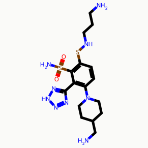 NCCCNSc1ccc(N2CCC(CN)CC2)c(-c2nn[nH]n2)c1S(N)(=O)=O